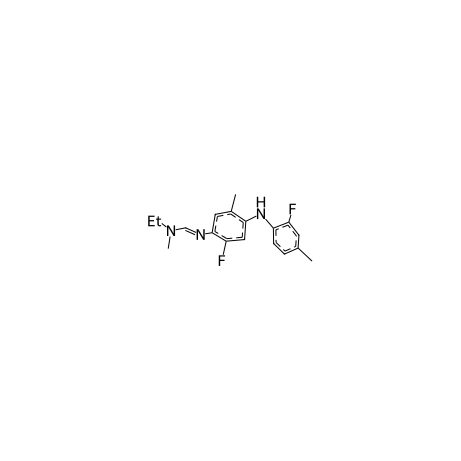 CCN(C)C=Nc1cc(C)c(Nc2ccc(C)cc2F)cc1F